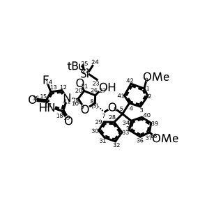 COc1ccc(C(OC[C@@H]2O[C@H](n3cc(F)c(=O)[nH]c3=O)C(O[Si](C)(C)C(C)(C)C)C2O)(c2ccccc2)c2ccc(OC)cc2)cc1